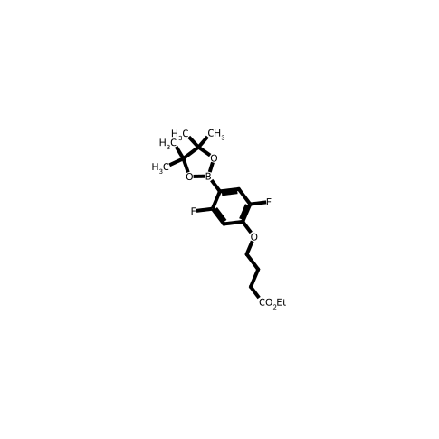 CCOC(=O)CCCOc1cc(F)c(B2OC(C)(C)C(C)(C)O2)cc1F